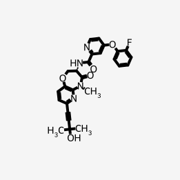 CN1C(=O)[C@@H](NC(=O)c2cc(Oc3ccccc3F)ccn2)COc2ccc(C#CC(C)(C)O)nc21